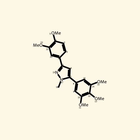 COc1ccc(-c2cc(-c3cc(OC)c(OC)c(OC)c3)n(C)n2)cc1OC